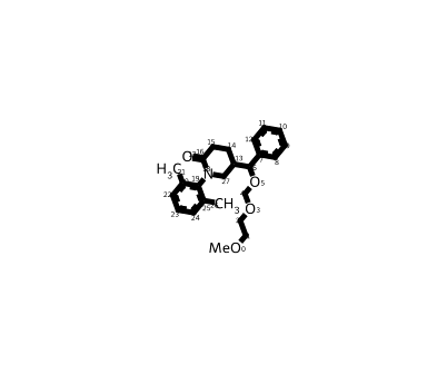 COCCOCOC(c1ccccc1)C1CCC(=O)N(c2c(C)cccc2C)C1